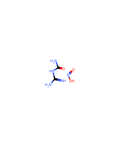 N=C(N)NC(N)=O.O=NO